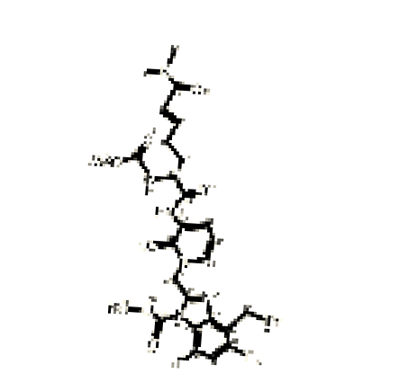 COC(=O)N[C@@H](CC/C=C/C(=O)N(C)C)C(=O)Nc1cccn(Cc2nc3c(CC(C)C)c(F)cc(F)c3n2C(=O)OC(C)(C)C)c1=O